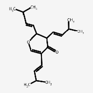 CC(C)C=CC1=COC(C=CC(C)C)C(C=CC(C)C)C1=O